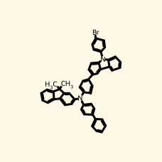 CC1(C)c2ccccc2-c2ccc(N(c3ccc(-c4ccccc4)cc3)c3ccc(-c4ccc5c(c4)c4ccccc4n5-c4ccc(Br)cc4)cc3)cc21